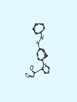 O=CC(=O)c1cccn1-c1ccc(N=Nc2ccccc2)cc1